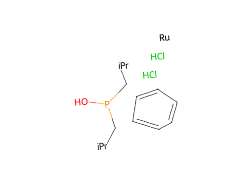 CC(C)CP(O)CC(C)C.Cl.Cl.[Ru].c1ccccc1